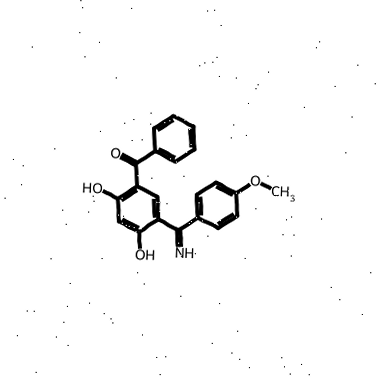 COc1ccc(C(=N)c2cc(C(=O)c3ccccc3)c(O)cc2O)cc1